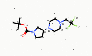 CC(C)(C)OC(=O)N1CC[C@@H](N2CCN(CC(F)(F)F)CC2)C1